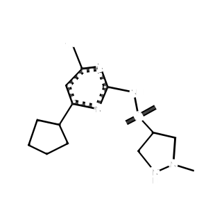 CN1CC(S(=O)(=O)Nc2nc(Cl)cc(C3CCCC3)n2)CN1